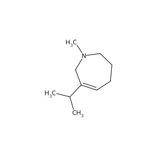 CC(C)C1=CCCCN(C)C1